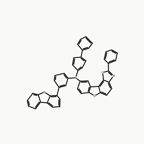 c1ccc(-c2ccc(N(c3cccc(-c4cccc5c4sc4ccccc45)c3)c3ccc4oc5ccc6nc(-c7ccccc7)oc6c5c4c3)cc2)cc1